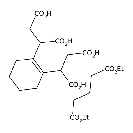 CCOC(=O)CCCC(=O)OCC.O=C(O)CC(C(=O)O)C1=C(C(CC(=O)O)C(=O)O)CCCC1